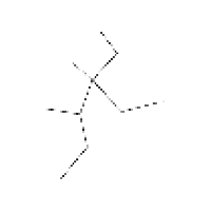 [CH2]CC(C)(CC)C(C)CC